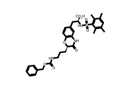 Cc1cc(C)c(C)c(S(=O)(=O)N[C@@H](Cc2ccc3c(c2)NC(=O)[C@@H](CCCNC(=O)OCc2ccccc2)O3)C(=O)O)c1C